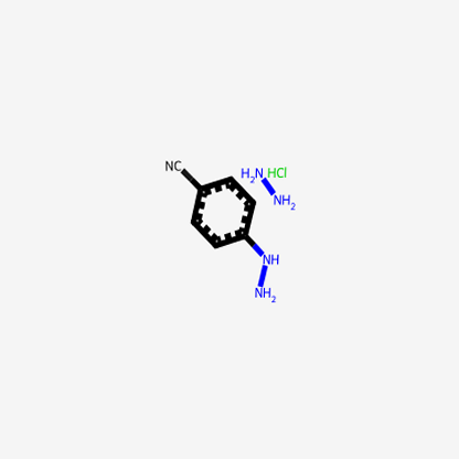 Cl.N#Cc1ccc(NN)cc1.NN